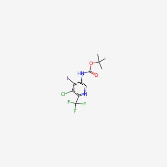 CC(C)(C)OC(=O)Nc1cnc(C(F)(F)F)c(Cl)c1I